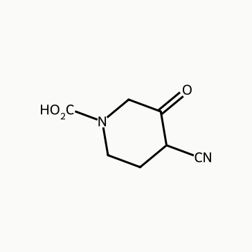 N#CC1CCN(C(=O)O)CC1=O